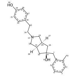 Cc1ccccc1C[C@]1(O)C[C@H]2CN(CCc3ccc(O)cc3)C[C@H]2C1